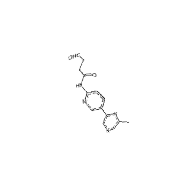 Cc1cncc(-c2ccc(NC(=O)CCC=O)nc2)n1